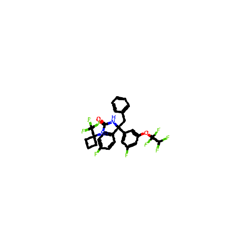 O=C(NC(Cc1ccccc1)(c1ccc(F)cc1)c1cc(F)cc(OC(F)(F)C(F)F)c1)NC1(C(F)(F)F)CCC1